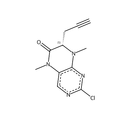 C#CC[C@H]1C(=O)N(C)c2cnc(Cl)nc2N1C